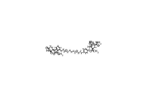 C[C@@H](OCc1ccc(CCCOCCCCCOCCCc2cccc3c2n(C)c(=O)n3C2CCC(=O)NC2=O)cc1)[C@H](CCC(N)=O)NC(=O)OC(C)(C)C